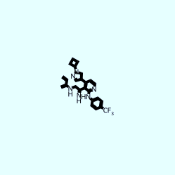 C=CC(=C)NCC(=N)c1c(C2C=NN(C3CCC3)C2)ccnc1Nc1ccc(C(F)(F)F)cc1